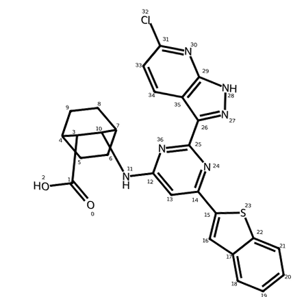 O=C(O)C1C2CCC(CC2)C1Nc1cc(-c2cc3ccccc3s2)nc(-c2n[nH]c3nc(Cl)ccc23)n1